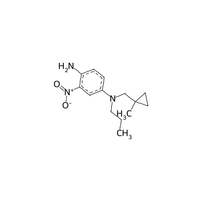 CCCN(CC1(C)CC1)c1ccc(N)c([N+](=O)[O-])c1